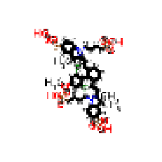 COc1cc(F)c(C2=C(/C=C/C3=[N+](CCCCS(=O)(=O)O)c4ccc(S(=O)(=O)O)cc4C3(C)C)CCC/C2=C\C=C2\N(CCCCS(=O)(=O)O)c3ccc(SOOO)cc3C2(C)C)c(F)c1